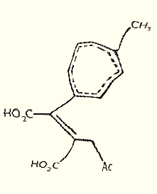 CC(=O)CC(C(=O)O)=C(C(=O)O)c1ccc(C)cc1